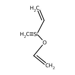 C=CO[Si](=C)C=C